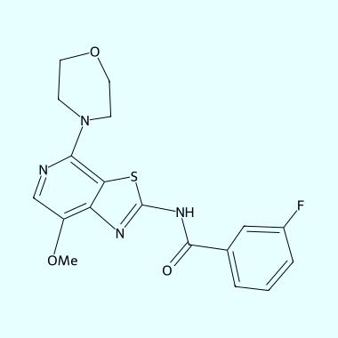 COc1cnc(N2CCOCC2)c2sc(NC(=O)c3cccc(F)c3)nc12